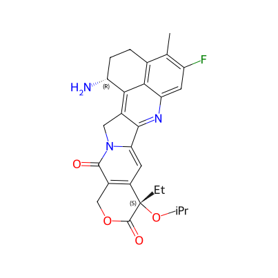 CC[C@@]1(OC(C)C)C(=O)OCc2c1cc1n(c2=O)Cc2c-1nc1cc(F)c(C)c3c1c2[C@H](N)CC3